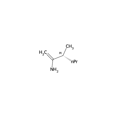 C=C(N)[C@H](C)CCC